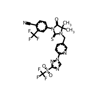 CC1(C)C(=O)N(c2ccc(C#N)c(C(F)(F)F)c2)C(=S)N1Cc1ccc(-n2cnc(S(=O)(=O)C(F)(F)F)n2)nc1